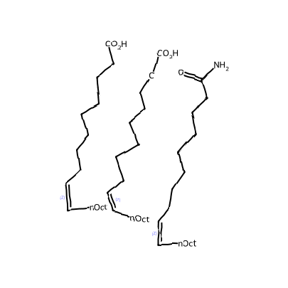 CCCCCCCC/C=C\CCCCCCCC(=O)O.CCCCCCCC/C=C\CCCCCCCC(=O)O.CCCCCCCC/C=C\CCCCCCCC(N)=O